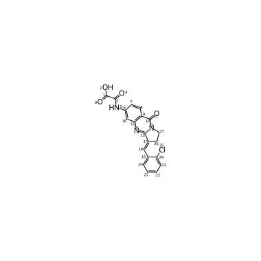 O=C(O)C(=O)Nc1ccc2c(=O)n3c(nc2c1)C(=Cc1ccccc1Cl)CC3